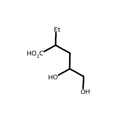 CCC(CC(O)CO)C(=O)O